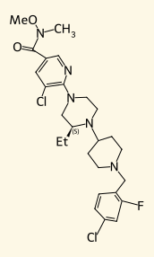 CC[C@H]1CN(c2ncc(C(=O)N(C)OC)cc2Cl)CCN1C1CCN(Cc2ccc(Cl)cc2F)CC1